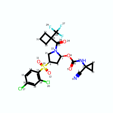 N#CC1(NC(=O)O[C@H]2C[C@@H](S(=O)(=O)c3ccc(Cl)cc3Cl)CN2C(=O)C2(C(F)(F)F)CCC2)CC1